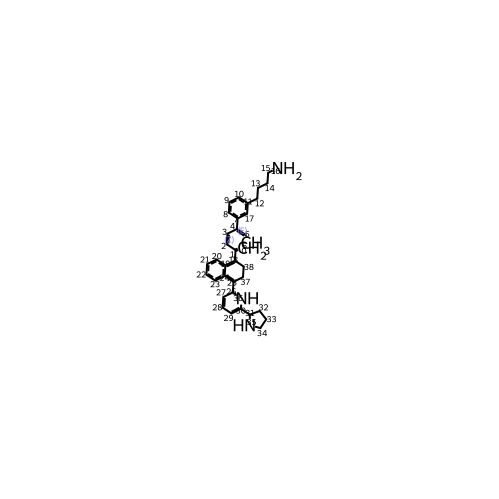 C=C(/C=C\C(=C/C)c1cccc(CCCCN)c1)C1=c2ccccc2=C(C2C=CC=C(C3CCCN3)N2)CC1